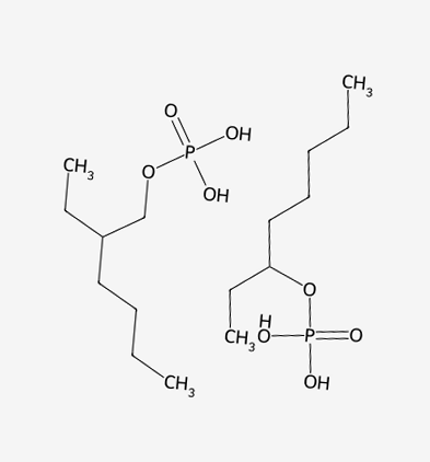 CCCCC(CC)COP(=O)(O)O.CCCCCC(CC)OP(=O)(O)O